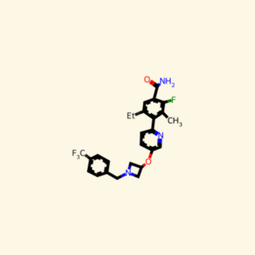 CCc1cc(C(N)=O)c(F)c(C)c1-c1ccc(OC2CN(Cc3ccc(C(F)(F)F)cc3)C2)cn1